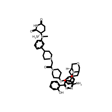 CN(c1cccc(C2CCN(CC(=O)N3CCC(Oc4cccc(N5C6COC[C@@H]5CN(c5cc(-c7ccccc7O)nnc5N)C6)c4)CC3)CC2)c1)[C@]1([SiH3])CCC(=O)NC1=O